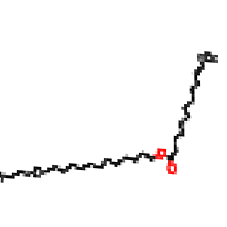 CCCCCCCCC=CCCCCCCCCCC(=O)OCCCCCCCCCCCCCCCCCC(C)C